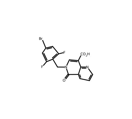 O=C(O)c1cn(Cc2c(F)cc(Br)cc2F)c(=O)c2cccnc12